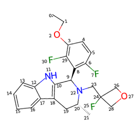 [CH2]COc1ccc(F)c([C@@H]2c3[nH]c4ccccc4c3C[C@@H](C)N2CC2(F)COC2)c1F